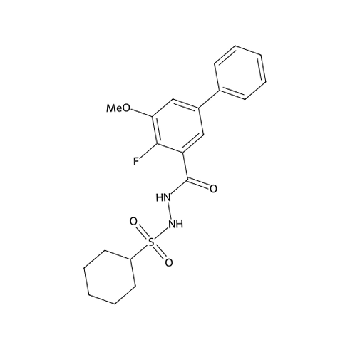 COc1cc(-c2ccccc2)cc(C(=O)NNS(=O)(=O)C2CCCCC2)c1F